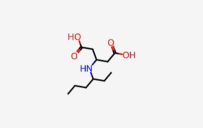 CCCC(CC)NC(CC(=O)O)CC(=O)O